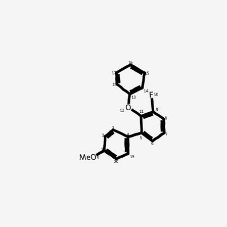 COc1ccc(-c2cc[c]c(F)c2Oc2ccccc2)cc1